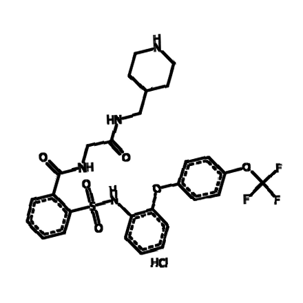 Cl.O=C(CNC(=O)c1ccccc1S(=O)(=O)Nc1ccccc1Oc1ccc(OC(F)(F)F)cc1)NCC1CCNCC1